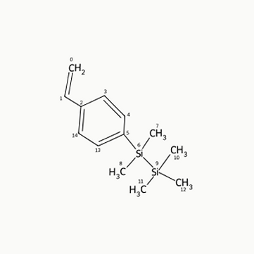 C=Cc1ccc([Si](C)(C)[Si](C)(C)C)cc1